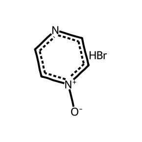 Br.[O-][n+]1ccncc1